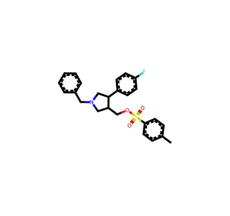 Cc1ccc(S(=O)(=O)OCC2CN(Cc3ccccc3)CC2c2ccc(F)cc2)cc1